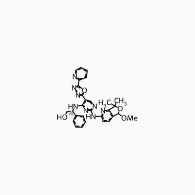 COC1OC(C)(C)c2nc(Nc3ncc(-c4nnc(-c5ccccn5)o4)c(N[C@H](CO)c4ccccc4)n3)ccc21